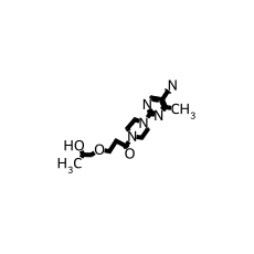 Cc1nc(N2CCN(C(=O)CCOCC(C)O)CC2)ncc1C#N